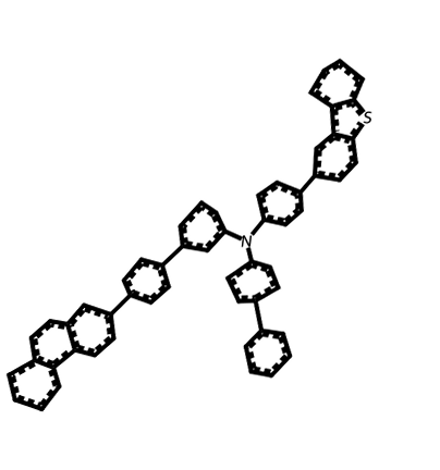 c1ccc(-c2ccc(N(c3ccc(-c4ccc5sc6ccccc6c5c4)cc3)c3cccc(-c4ccc(-c5ccc6c(ccc7ccccc76)c5)cc4)c3)cc2)cc1